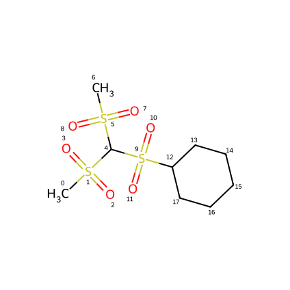 CS(=O)(=O)C(S(C)(=O)=O)S(=O)(=O)C1CCCCC1